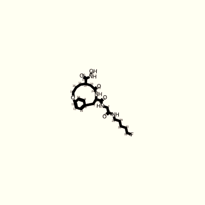 O=C(CNC(=O)C1Cc2ccc(cc2)OCCCC(C(=O)NO)CC(=O)N1)NCCCCCF